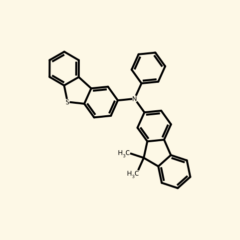 CC1(C)c2ccccc2-c2ccc(N(c3ccccc3)c3ccc4sc5ccccc5c4c3)cc21